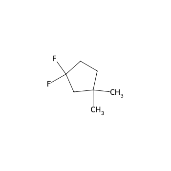 CC1(C)CCC(F)(F)C1